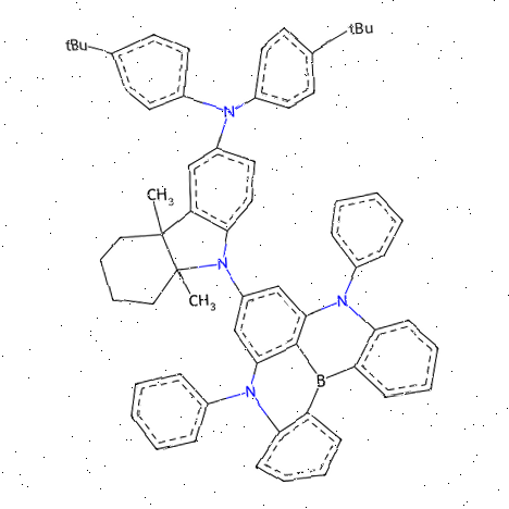 CC(C)(C)c1ccc(N(c2ccc(C(C)(C)C)cc2)c2ccc3c(c2)C2(C)CCCCC2(C)N3c2cc3c4c(c2)N(c2ccccc2)c2ccccc2B4c2ccccc2N3c2ccccc2)cc1